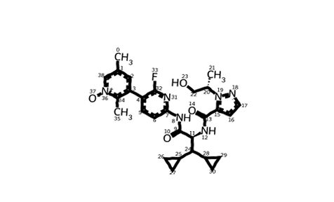 Cc1cc(-c2ccc(NC(=O)[C@@H](NC(=O)c3ccnn3[C@@H](C)CO)C(C3CC3)C3CC3)nc2F)c(C)[n+]([O-])c1